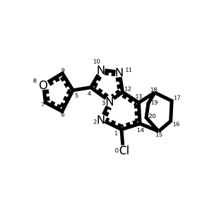 Clc1nn2c(-c3ccoc3)nnc2c2c1C1CCC2CC1